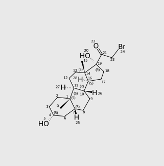 C[C@]12CC[C@@H](O)C[C@H]1CC[C@@H]1[C@@H]2CC[C@@]2(C)[C@H]1CC[C@]2(O)C(=O)CBr